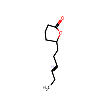 CC/C=C/CCC1CCCC(=O)O1